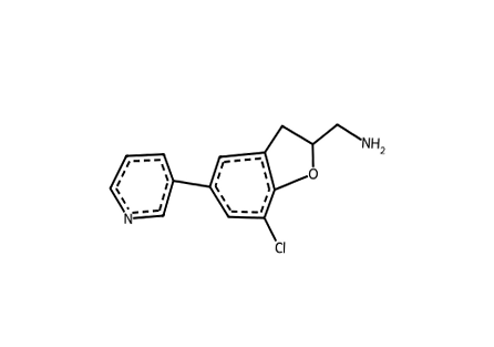 NCC1Cc2cc(-c3cccnc3)cc(Cl)c2O1